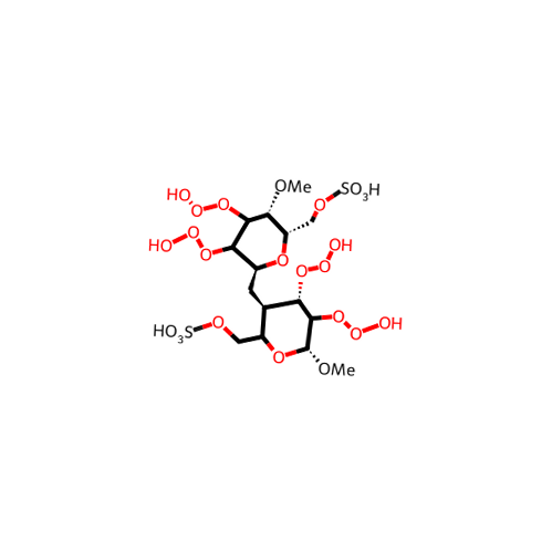 CO[C@@H]1OC(COS(=O)(=O)O)[C@@H](C[C@@H]2O[C@@H](COS(=O)(=O)O)[C@@H](OC)C(OOO)C2OOO)[C@H](OOO)C1OOO